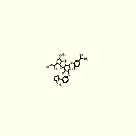 CCOC1OC(C(O)CO)C(Oc2c(F)c(Oc3cccc(C4=NCCN4C)c3)nc(Oc3cc(C(=N)N)ccc3O)c2F)C1O